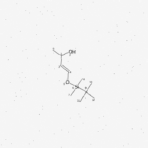 CC(O)C=CO[Si](C)(C)C(C)(C)C